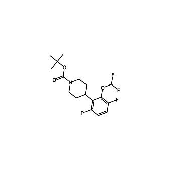 CC(C)(C)OC(=O)N1CCC(c2c(F)ccc(F)c2OC(F)F)CC1